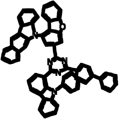 c1ccc(-c2ccc(-c3nc(-c4cc(-n5c6ccccc6c6cc7ccccc7cc65)c5c(c4)oc4ccccc45)nc(-c4cccc5c6ccccc6n(-c6ccccc6)c45)n3)cc2)cc1